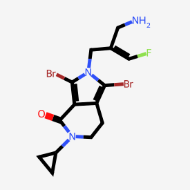 NCC(=CF)Cn1c(Br)c2c(c1Br)C(=O)N(C1CC1)CC2